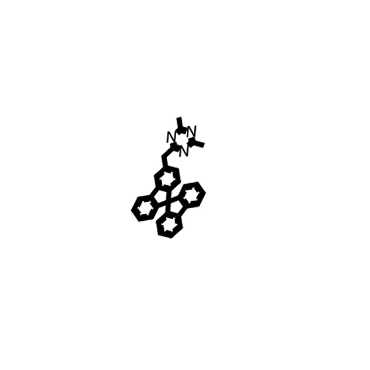 Cc1nc(C)nc(Cc2ccc3c(c2)-c2ccccc2C32c3ccccc3-c3ccccc32)n1